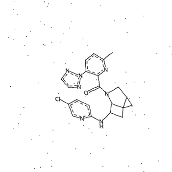 Cc1ccc(-n2nccn2)c(C(=O)N2CC3CC34CC(Nc3ccc(Cl)cn3)C24)n1